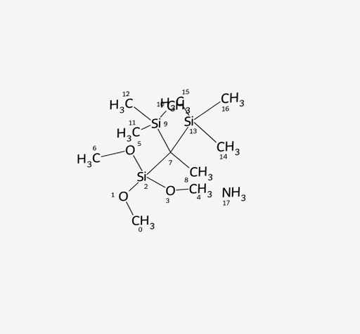 CO[Si](OC)(OC)C(C)([Si](C)(C)C)[Si](C)(C)C.N